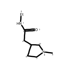 CCNC(=O)CC1CCN(C)C1